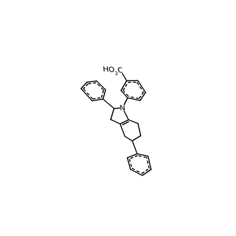 O=C(O)c1cccc(N2C3=C(CC(c4ccccc4)CC3)CC2c2ccccc2)c1